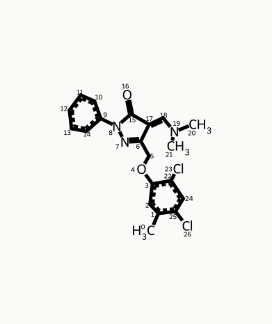 Cc1cc(OCC2=NN(c3ccccc3)C(=O)C2=CN(C)C)c(Cl)cc1Cl